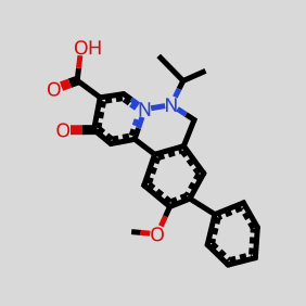 COc1cc2c(cc1-c1ccccc1)CN(C(C)C)n1cc(C(=O)O)c(=O)cc1-2